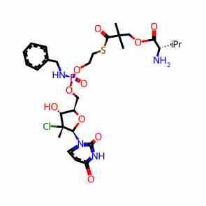 CC(C)[C@H](N)C(=O)OCC(C)(C)C(=O)SCCO[P@@](=O)(NCc1ccccc1)OC[C@H]1O[C@@H](n2ccc(=O)[nH]c2=O)[C@](C)(Cl)[C@@H]1O